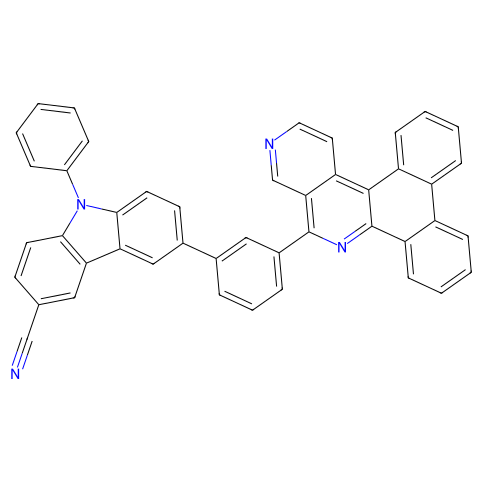 N#Cc1ccc2c(c1)c1cc(-c3cccc(-c4nc5c6ccccc6c6ccccc6c5c5ccncc45)c3)ccc1n2-c1ccccc1